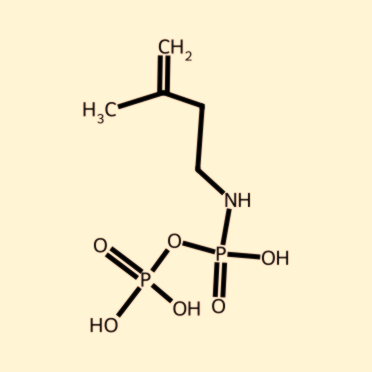 C=C(C)CCNP(=O)(O)OP(=O)(O)O